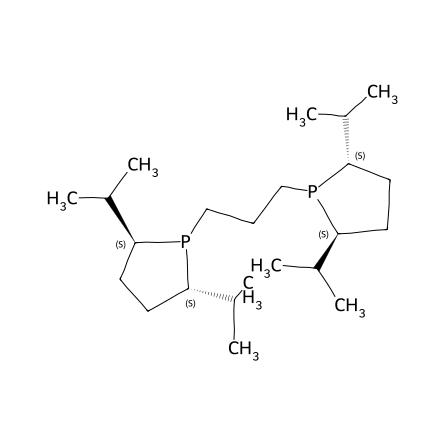 CC(C)[C@@H]1CC[C@@H](C(C)C)P1CCCP1[C@H](C(C)C)CC[C@H]1C(C)C